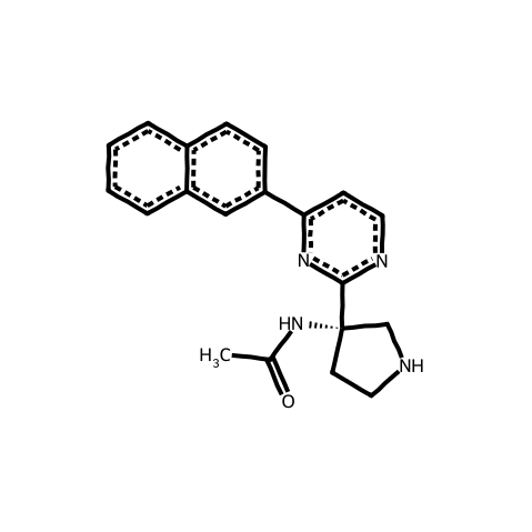 CC(=O)N[C@@]1(c2nccc(-c3ccc4ccccc4c3)n2)CCNC1